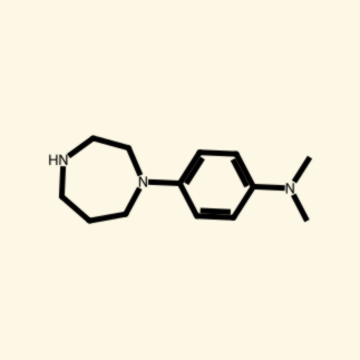 CN(C)c1ccc(N2CCCNCC2)cc1